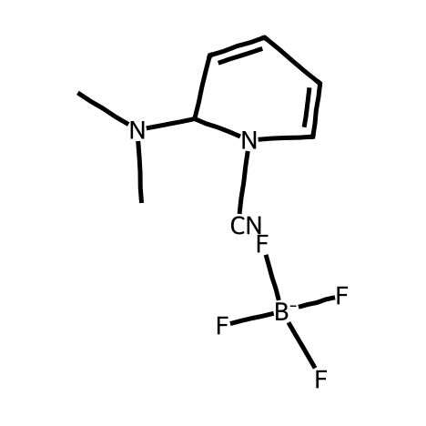 CN(C)C1C=CC=CN1C#N.F[B-](F)(F)F